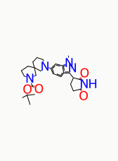 Cn1nc(C2CCC(=O)NC2=O)c2ccc(N3CCCC4(CCCN(C(=O)OC(C)(C)C)C4)C3)cc21